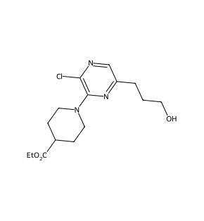 CCOC(=O)C1CCN(c2nc(CCCO)cnc2Cl)CC1